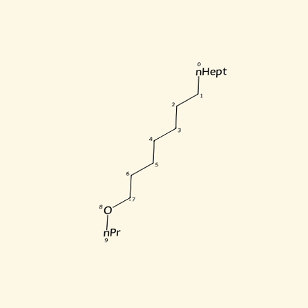 CCCCCCCCCCCCC[CH]OCCC